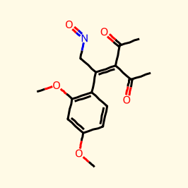 COc1ccc(C(CN=O)=C(C(C)=O)C(C)=O)c(OC)c1